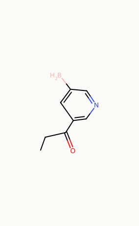 Bc1cncc(C(=O)CC)c1